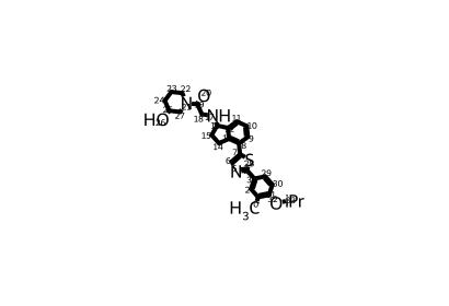 Cc1cc(-c2ncc(-c3cccc4c3CCC4NCC(=O)N3CCCC(O)C3)s2)ccc1OC(C)C